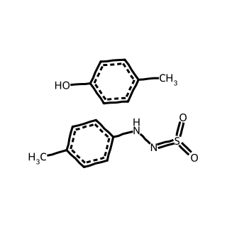 Cc1ccc(NN=S(=O)=O)cc1.Cc1ccc(O)cc1